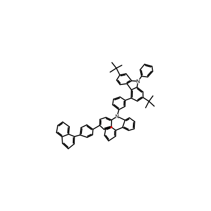 CC(C)(C)c1ccc2c3c(-c4cccc(N(c5ccc(-c6ccc(-c7cccc8ccccc78)cc6)cc5)c5ccccc5-c5ccccc5)c4)cc(C(C)(C)C)cc3n(-c3ccccc3)c2c1